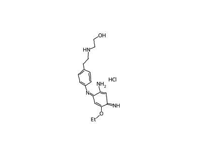 CCOC1=CC(=Nc2ccc(CCNCCO)cc2)C(N)=CC1=N.Cl